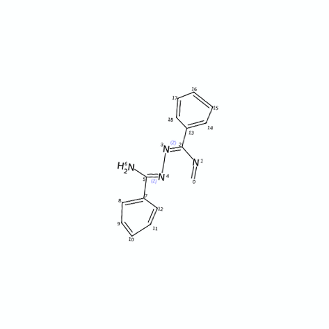 C=N/C(=N\N=C(/N)c1ccccc1)c1ccccc1